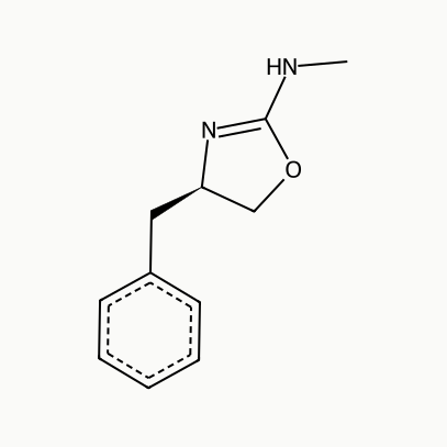 CNC1=N[C@H](Cc2ccccc2)CO1